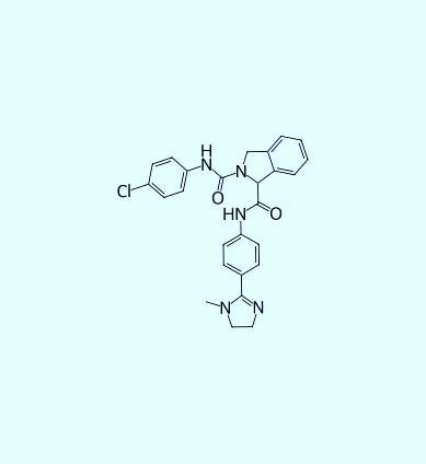 CN1CCN=C1c1ccc(NC(=O)C2c3ccccc3CN2C(=O)Nc2ccc(Cl)cc2)cc1